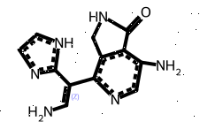 N/C=C(\c1ncc[nH]1)c1ncc(N)c2c1CNC2=O